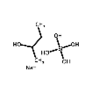 CCC(C)O.O[Si](O)(O)O.[NaH]